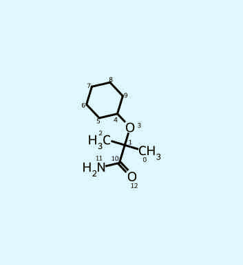 CC(C)(OC1CCCCC1)C(N)=O